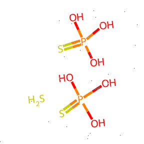 OP(O)(O)=S.OP(O)(O)=S.S